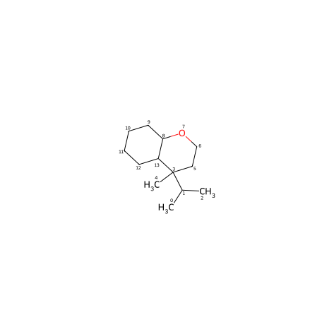 CC(C)C1(C)CCOC2CCCCC21